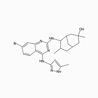 Cc1cc(Nc2nc(NC3C(C)CC4CC3CC(C)(O)C4)nc3cc(Br)ccc23)n[nH]1